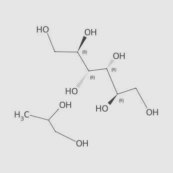 CC(O)CO.OC[C@@H](O)[C@@H](O)[C@H](O)[C@H](O)CO